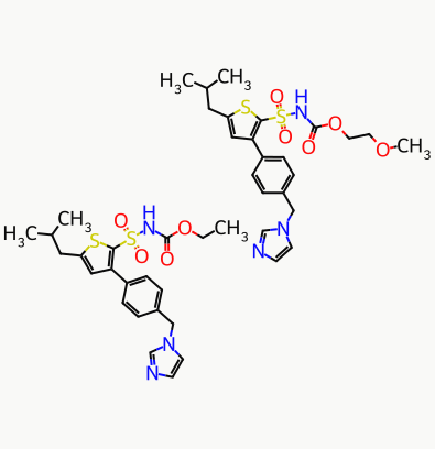 CCOC(=O)NS(=O)(=O)c1sc(CC(C)C)cc1-c1ccc(Cn2ccnc2)cc1.COCCOC(=O)NS(=O)(=O)c1sc(CC(C)C)cc1-c1ccc(Cn2ccnc2)cc1